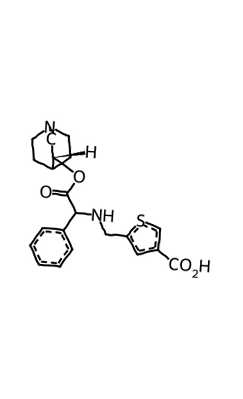 O=C(O)c1csc(CNC(C(=O)O[C@H]2CN3CCC2CC3)c2ccccc2)c1